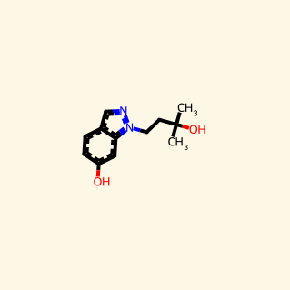 CC(C)(O)CCn1ncc2ccc(O)cc21